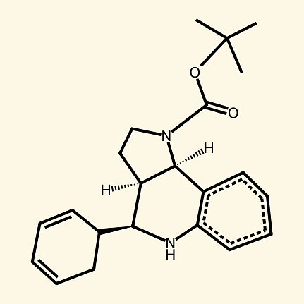 CC(C)(C)OC(=O)N1CC[C@@H]2[C@H](C3C=CC=CC3)Nc3ccccc3[C@@H]21